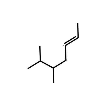 C/C=[C]/CC(C)C(C)C